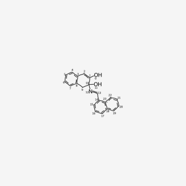 OC1=Cc2ccccc2CC1(O)N=Cc1cccc2ccccc12